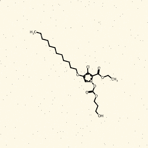 CCCCCCCCCCCCOc1cn(OC(=O)OCCCO)c(C(=O)OCC)c1Cl